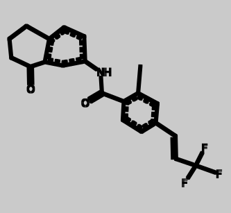 Cc1cc(C=CC(F)(F)F)ccc1C(=O)Nc1ccc2c(c1)C(=O)CCC2